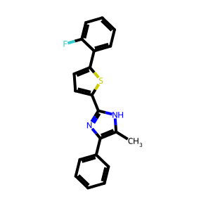 Cc1[nH]c(-c2ccc(-c3ccccc3F)s2)nc1-c1ccccc1